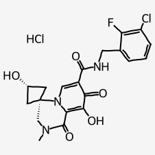 CN1C[C@]2(C[C@@H](O)C2)n2cc(C(=O)NCc3cccc(Cl)c3F)c(=O)c(O)c2C1=O.Cl